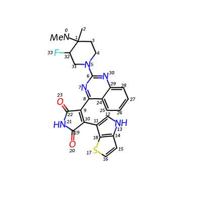 CNC1(C)CCN(c2nc(C3=C(c4c[nH]c5ccsc45)C(=O)NC3=O)c3ccccc3n2)CC1F